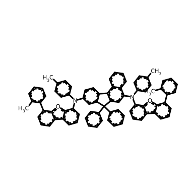 Cc1ccc(N(c2ccc3c(c2)C(c2ccccc2)(c2ccccc2)c2cc(N(c4ccc(C)cc4)c4cccc5c4oc4c(-c6ccccc6C)cccc45)c4ccccc4c2-3)c2cccc3c2oc2c(-c4ccccc4C)cccc23)cc1